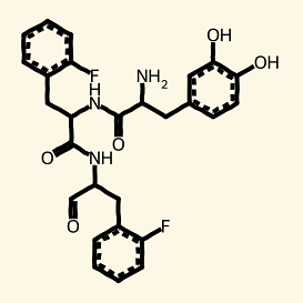 NC(Cc1ccc(O)c(O)c1)C(=O)NC(Cc1ccccc1F)C(=O)NC(C=O)Cc1ccccc1F